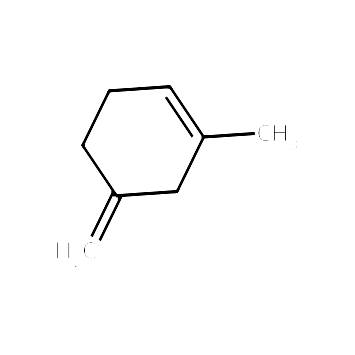 C=C1CCC=C(C)C1